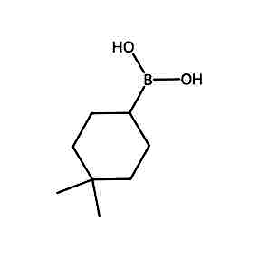 CC1(C)CCC(B(O)O)CC1